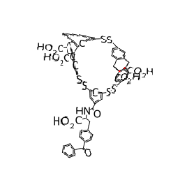 O=C(NC(Cc1ccc(C(=O)c2ccccc2)cc1)C(=O)O)c1cc2cc(c1)SSc1ccc3c(c1)C1c4ccc(cc4C3C(C(=O)O)C1C(=O)O)SSc1ccc3c(c1)C1c4ccc(cc4C3C(C(=O)O)C1C(=O)O)SS2